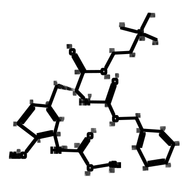 COc1ccc(C[C@@H](NC(=O)OCc2ccccc2)C(=O)OCC[Si](C)(C)C)cc1NC(=O)OC(C)(C)C